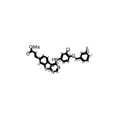 COC(=O)/C=C/c1ccc2c(c1)sc1ncnc(Nc3ccc(OCc4cccc(F)c4)c(Cl)c3)c12